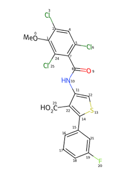 COc1c(Cl)cc(Cl)c(C(=O)Nc2csc(-c3cccc(F)c3)c2C(=O)O)c1Cl